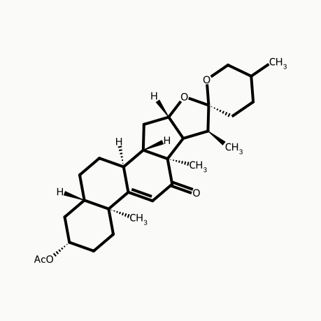 CC(=O)O[C@H]1CC[C@]2(C)C3=CC(=O)[C@]4(C)C5[C@H](C[C@H]4[C@@H]3CC[C@H]2C1)O[C@]1(CCC(C)CO1)[C@H]5C